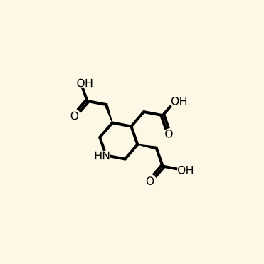 O=C(O)CC1[C@@H](CC(=O)O)CNC[C@H]1CC(=O)O